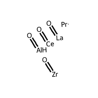 [O]=[AlH].[O]=[Ce].[O]=[La].[O]=[Zr].[Pr]